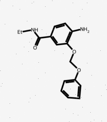 CCNC(=O)c1ccc(N)c(OCOc2ccccc2)c1